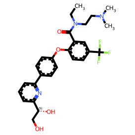 CCN(CCN(C)C)C(=O)c1cc(C(F)(F)F)ccc1Oc1ccc(-c2cccc([C@H](O)CO)n2)cc1